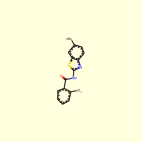 CCCCc1ccc2nc(NC(=O)c3ccccc3C(F)(F)F)sc2c1